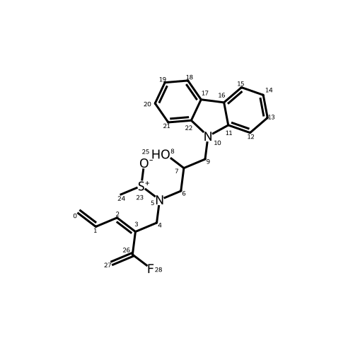 C=C/C=C(/CN(CC(O)Cn1c2ccccc2c2ccccc21)[S+](C)[O-])C(=C)F